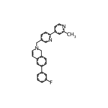 Cc1cc(-c2ccc(CN3C=Cc4cc(-c5cccc(F)c5)ccc4C3)cn2)ccn1